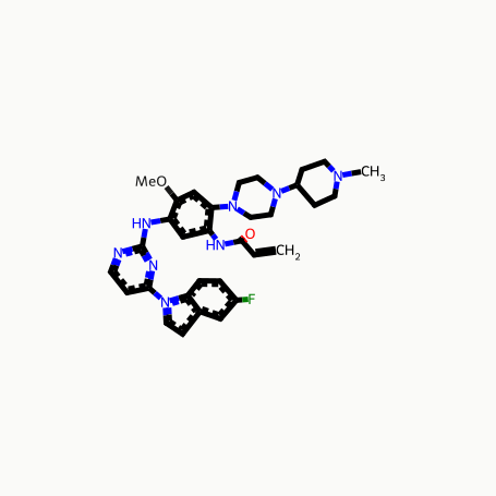 C=CC(=O)Nc1cc(Nc2nccc(-n3ccc4cc(F)ccc43)n2)c(OC)cc1N1CCN(C2CCN(C)CC2)CC1